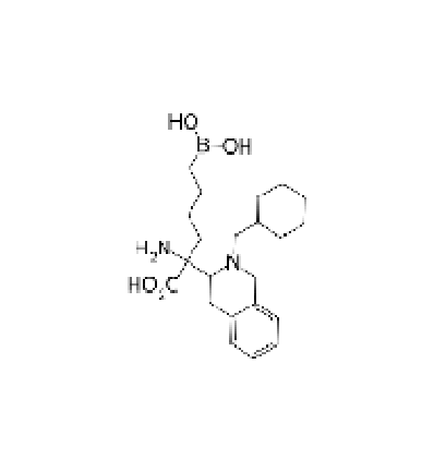 NC(CCCCB(O)O)(C(=O)O)C1Cc2ccccc2CN1CC1CCCCC1